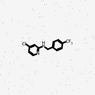 FC(F)(F)c1ccc(CNc2cc(Cl)ccn2)cc1